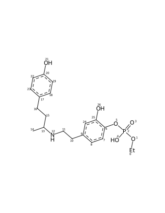 CCOP(=O)(O)Oc1ccc(CCNC(C)CCc2ccc(O)cc2)cc1O